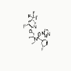 CCN(C(=O)c1cc(F)ccc1-n1nccn1)[C@@H](C)COc1ncc(C(F)(F)F)cc1F